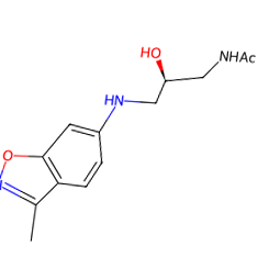 CC(=O)NC[C@H](O)CNc1ccc2c(C)noc2c1